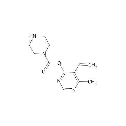 C=Cc1c(C)ncnc1OC(=O)N1CCNCC1